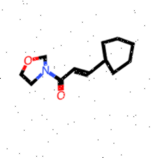 O=C(/C=C/C1CCCCC1)N1CCOC1